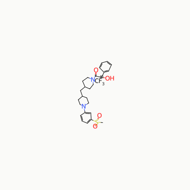 CS(=O)(=O)c1cccc(N2CCC(CC3CCN(C(=O)[C@](O)(c4ccccc4)C(F)(F)F)CC3)CC2)c1